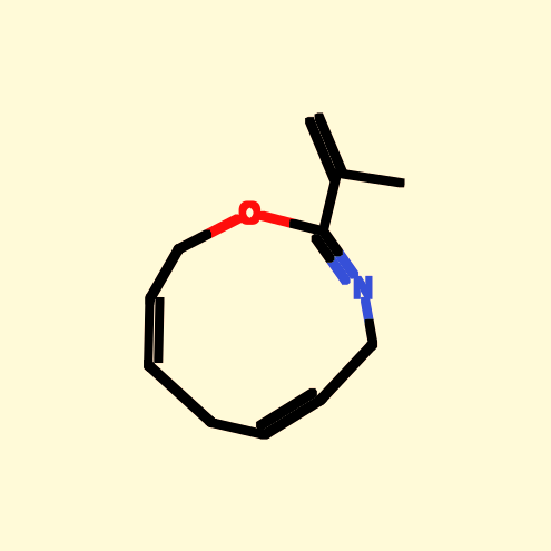 C=C(C)/C1=N/C/C=C\C/C=C\CO1